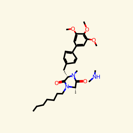 CCCCCCCN1C(=O)[C@H](Cc2ccc(-c3cc(OC)c(OC)c(OC)c3)cc2)N(C)C(=O)[C@@H]1C.CNC